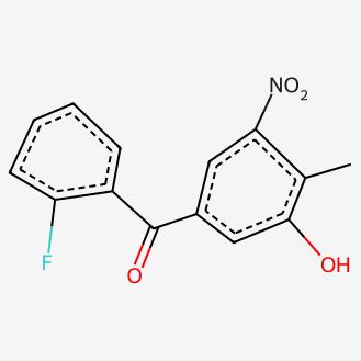 Cc1c(O)cc(C(=O)c2ccccc2F)cc1[N+](=O)[O-]